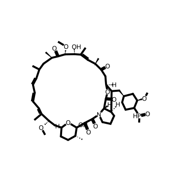 CO[C@H]1C[C@@H]2CC[C@@H](C)[C@@](O)(O2)C(=O)C(=O)N2CCC[C@@H]3C(C[C@@H]4CCC([PH](C)=O)[C@H](OC)C4)[C@H](CC(=O)[C@H](C)/C=C(\C)[C@@H](O)[C@@H](OC)C(=O)[C@H](C)CC(C)/C=C/C=C/C=C/1C)OC(=O)[C@H]32